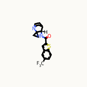 O=C(N[C@H]1C2CCN(CC2)C12CC2)c1cc2cc(C(F)(F)F)ccc2s1